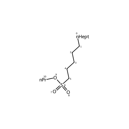 CCCCCCCCCCCCS(=O)(=O)OCCC